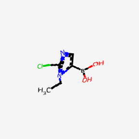 CCn1c(B(O)O)cnc1Cl